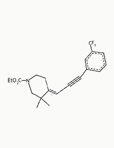 CCOC(=O)N1CC/C(=C\C#Cc2cccc(C(F)(F)F)c2)C(C)(C)C1